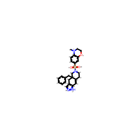 CN1CCOc2cc(S(=O)(=O)N3CCC4=Cc5[nH]ncc5CC4(Cc4ccccc4)C3)ccc21